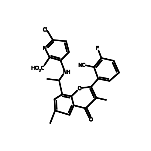 Cc1cc(C(C)Nc2ccc(Cl)nc2C(=O)O)c2oc(-c3cccc(F)c3C#N)c(C)c(=O)c2c1